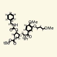 COCCCOc1cc(C(=O)N(C[C@@H]2CN(C(=O)OC(C)(C)C)C[C@H]2OC(=O)NCc2ccccc2)C(C)C)ccc1OC